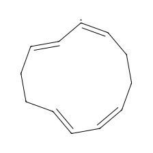 [C]1=C\CC/C=C\C=C\CC/C=C/1